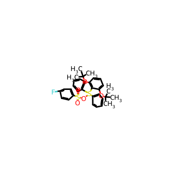 CC(C)(C)Oc1cccc(OC(C)(C)C)c1S(OS(=O)(=O)c1ccc(F)cc1)(c1ccccc1)c1ccccc1